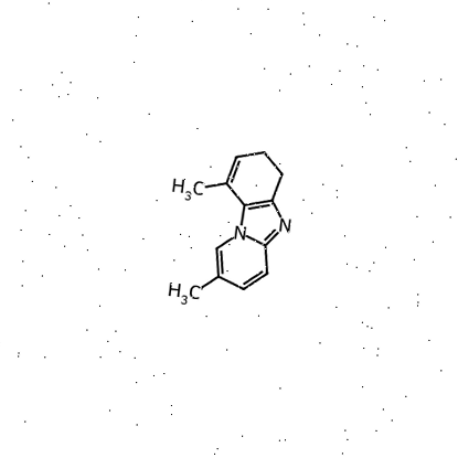 CC1=CCCc2nc3ccc(C)cn3c21